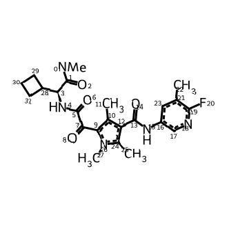 CNC(=O)[C@@H](NC(=O)C(=O)c1c(C)c(C(=O)Nc2cnc(F)c(C)c2)c(C)n1C)C1CCC1